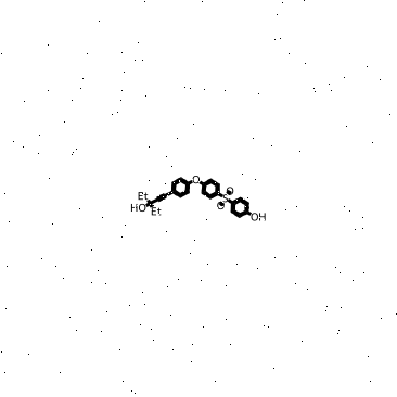 CCC(O)(C#Cc1ccc(Oc2ccc(S(=O)(=O)c3ccc(O)cc3)cc2)cc1)CC